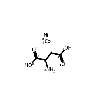 NC(CC(=O)O)C(=O)O.[Co].[Ni]